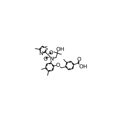 Cc1csc(S(=O)(=O)N(CC(C)(C)O)c2cc(C)c(C)cc2OCc2ccc(C(=O)O)cc2C)n1